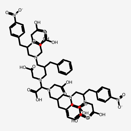 O=C(O)CN(CC(Cc1ccccc1)CN(CC(=O)O)C(C(=O)O)N(CC(=O)O)CC(Cc1ccccc1)CN(CC(=O)O)CC(Cc1ccc([N+](=O)[O-])cc1)N(CC(=O)O)CC(=O)O)CC(Cc1ccc([N+](=O)[O-])cc1)N(CC(=O)O)CC(=O)O